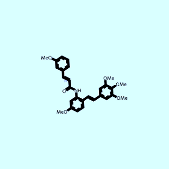 COc1cccc(/C=C/C(=O)Nc2cc(OC)ccc2C=Cc2cc(OC)c(OC)c(OC)c2)c1